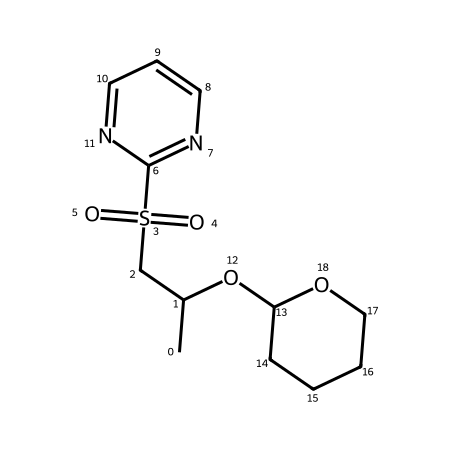 CC(CS(=O)(=O)c1ncccn1)OC1CCCCO1